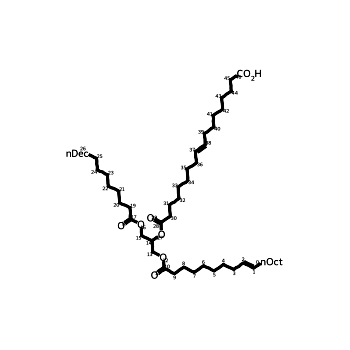 CCCCCCCCC=CCCCCCCCC(=O)OCC(COC(=O)CCCCCCCCCCCCCCCCC)OC(=O)CCCCCCCC=CCCCCCCCC(=O)O